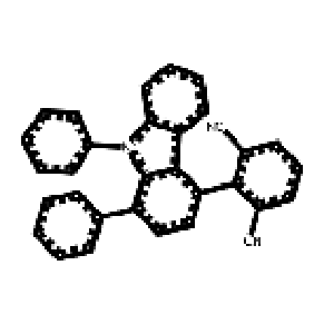 N#Cc1cccc(C#N)c1-c1ccc(-c2ccccc2)c2c1c1ccccc1n2-c1ccccc1